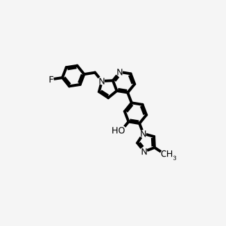 Cc1cn(-c2ccc(-c3ccnc4c3ccn4Cc3ccc(F)cc3)cc2O)cn1